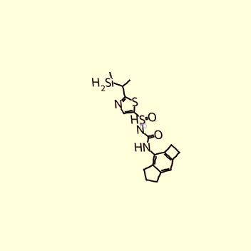 C[SiH2]C(C)c1ncc(/[SH](=O)=N/C(=O)Nc2c3c(cc4c2CC4)CCC3)s1